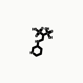 O=P(O)(O)C(CNC1CCCNC1)S(=O)(=O)O